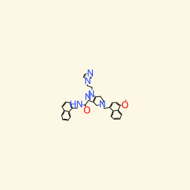 COc1ccc(CN2CCc3c(c(C(=O)NCc4cccc5ccccc45)nn3CCn3ccnc3)C2)c2ccccc12